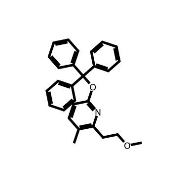 COCCc1nc(OC(c2ccccc2)(c2ccccc2)c2ccccc2)ccc1C